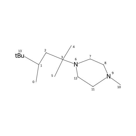 CC(CC(C)(C)N1CCN(C)CC1)C(C)(C)C